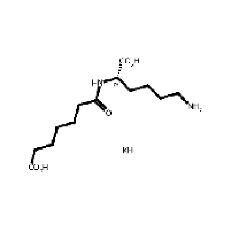 NCCCC[C@H](NC(=O)CCCCCC(=O)O)C(=O)O.[KH]